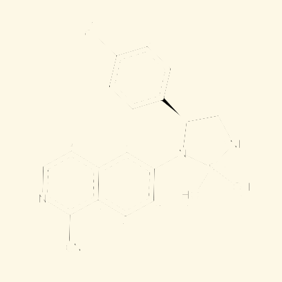 N#Cc1nccc2cc(N3[C@@H](c4ccc(Cl)cc4)CNS3(O)O)ccc12